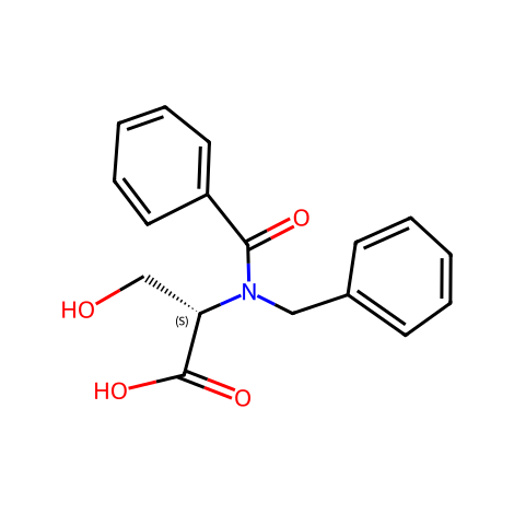 O=C(O)[C@H](CO)N(Cc1ccccc1)C(=O)c1ccccc1